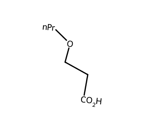 [CH2]CCOCCC(=O)O